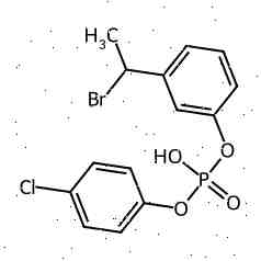 CC(Br)c1cccc(OP(=O)(O)Oc2ccc(Cl)cc2)c1